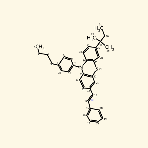 CCCCc1ccc(N2c3ccc(/C=C/c4ccccc4)cc3Sc3cc(C(C)(C)CC)ccc32)cc1